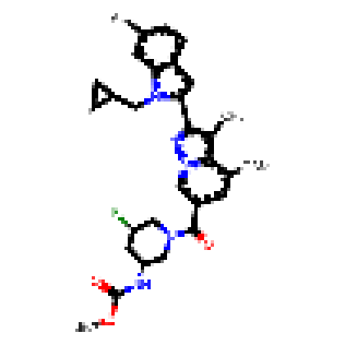 COc1cc(C(=O)N2C[C@H](F)C[C@@H](NC(=O)OC(C)(C)C)C2)cn2nc(-c3cc4ccc(C(C)=O)cc4n3CC3CC3)c(C)c12